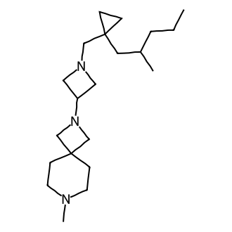 CCCC(C)CC1(CN2CC(N3CC4(CCN(C)CC4)C3)C2)CC1